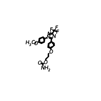 COc1ccc(-n2nc(C(F)(F)F)nc2-c2ccc(OCCCOC(N)=O)cc2)cc1